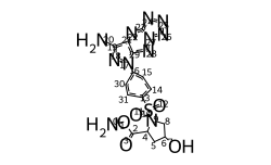 NOC(=O)C1CC(O)CN1S(=O)(=O)c1ccc(-n2nc(N)c3nc4nnnn4nc32)cc1